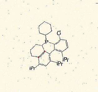 CC(C)c1ccc(-c2c(C(C)C)ccc(Cl)c2P(C2CCCCC2)C2CCCCC2)c(C(C)C)c1